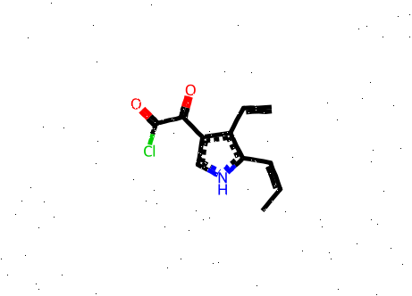 C=Cc1c(C(=O)C(=O)Cl)c[nH]c1/C=C\C